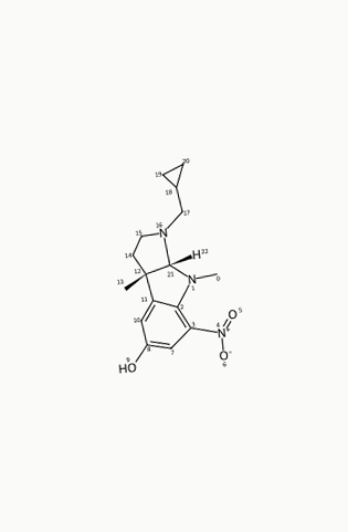 CN1c2c([N+](=O)[O-])cc(O)cc2[C@]2(C)CCN(CC3CC3)[C@H]12